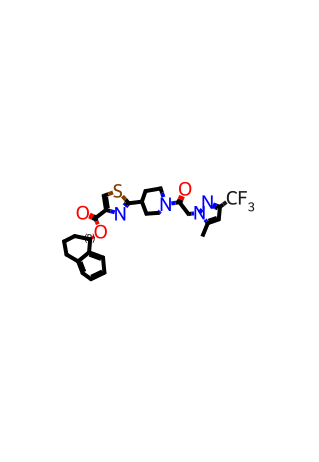 Cc1cc(C(F)(F)F)nn1CC(=O)N1CCC(c2nc(C(=O)O[C@@H]3CCCc4ccccc43)cs2)CC1